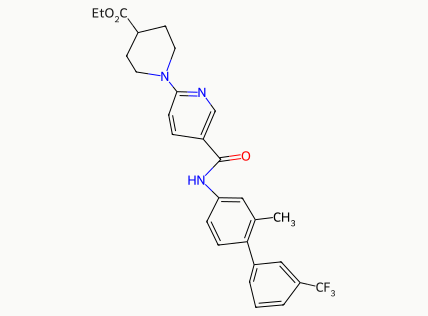 CCOC(=O)C1CCN(c2ccc(C(=O)Nc3ccc(-c4cccc(C(F)(F)F)c4)c(C)c3)cn2)CC1